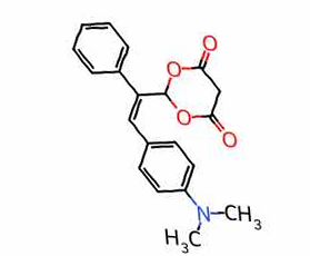 CN(C)c1ccc(C=C(c2ccccc2)C2OC(=O)CC(=O)O2)cc1